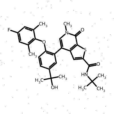 Cc1cc(F)cc(C)c1Oc1ccc(C(C)(C)O)cc1-c1cn(C)c(=O)c2sc(C(=O)NC(C)(C)C)cc12